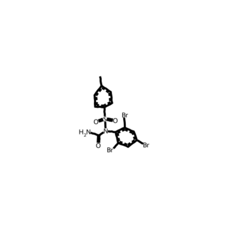 Cc1ccc(S(=O)(=O)N(C(N)=O)c2c(Br)cc(Br)cc2Br)cc1